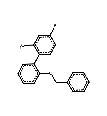 FC(F)(F)c1cc(Br)ccc1-c1ccccc1OCc1ccccc1